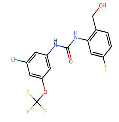 O=C(Nc1cc(Cl)cc(OC(F)(F)F)c1)Nc1cc(F)ccc1CO